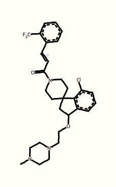 CN1CCN(CCOC2CC3(CCN(C(=O)/C=C/c4ccccc4C(F)(F)F)CC3)c3c(Cl)cccc32)CC1